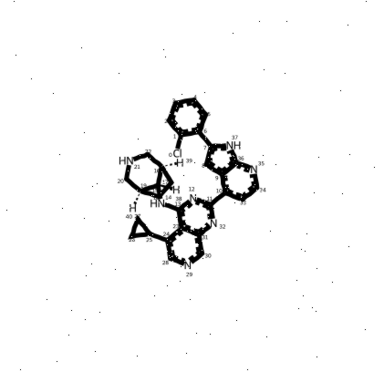 Clc1ccccc1-c1cc2c(-c3nc(N[C@H]4[C@@H]5CC[C@H]4CNC5)c4c(C5CC5)cncc4n3)ccnc2[nH]1